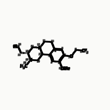 COc1cc2c(cc1OCC(F)(F)F)CCN1C[C@@H](CC(C)(C)C)N(C)CC21